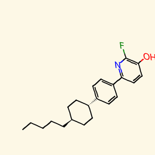 CCCCC[C@H]1CC[C@H](c2ccc(-c3ccc(O)c(F)n3)cc2)CC1